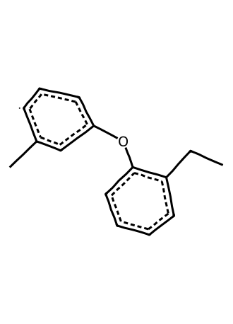 CCc1ccccc1Oc1cc[c]c(C)c1